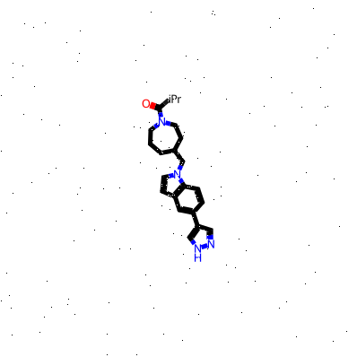 CC(C)C(=O)N1CCCC(Cn2ccc3cc(-c4cn[nH]c4)ccc32)CC1